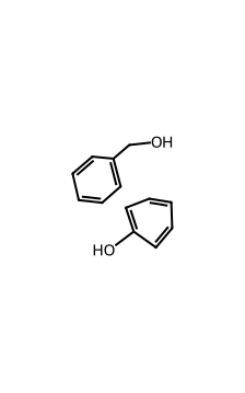 OCc1ccccc1.Oc1ccccc1